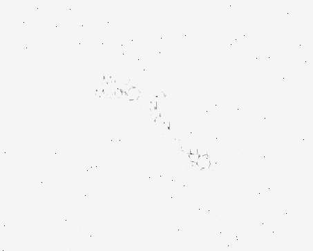 COc1cc2c(cc1OC)CC(=O)N(CC1CCCN(CCCCc3cc4ccccc4o3)C1)CC2